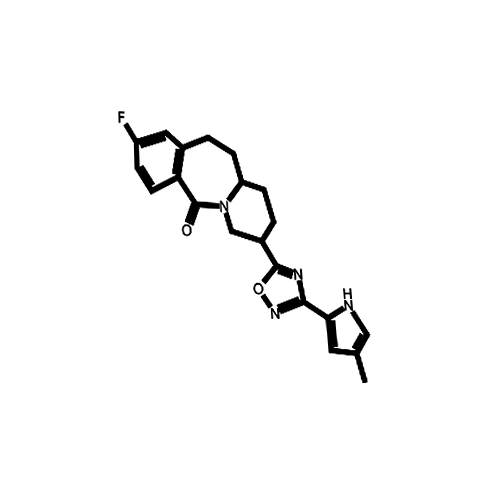 Cc1c[nH]c(-c2noc(C3CCC4CCc5cc(F)ccc5C(=O)N4C3)n2)c1